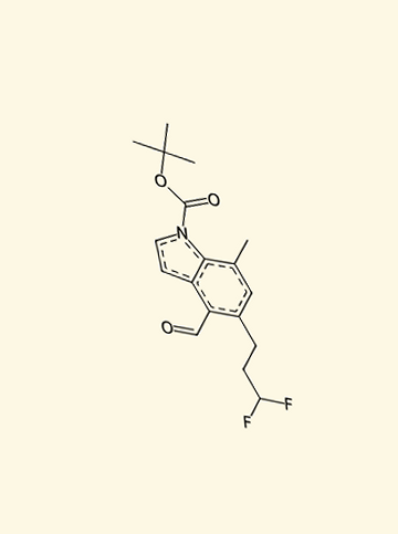 Cc1cc(CCC(F)F)c(C=O)c2ccn(C(=O)OC(C)(C)C)c12